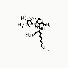 C[C@H]1O[C@@H](N2CN(NC(CCN)CCCCCCN)c3c(N)ncnc32)C(O)C1O